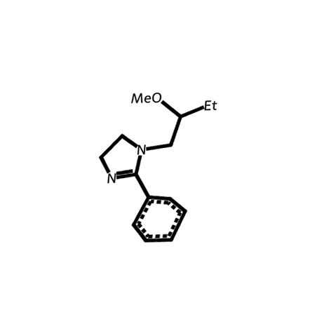 CCC(CN1CCN=C1c1ccccc1)OC